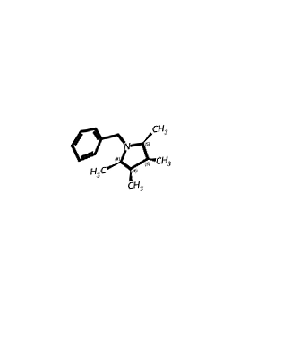 C[C@@H]1[C@H](C)[C@H](C)N(Cc2ccccc2)[C@@H]1C